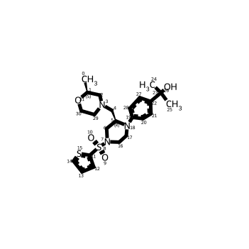 C[C@H]1CN(C[C@@H]2CN(S(=O)(=O)c3cccs3)CCN2c2ccc(C(C)(C)O)cc2)CCO1